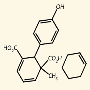 C1=CCCCC1.CC1(C(=O)O)C=CC=C(C(=O)O)C1c1ccc(O)cc1